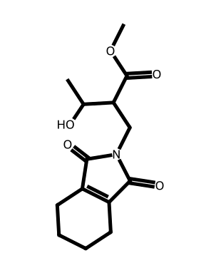 COC(=O)C(CN1C(=O)C2=C(CCCC2)C1=O)C(C)O